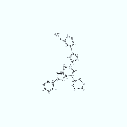 COc1cccc(-c2ccn(-c3nc(N4CCOCC4)n4nc(-c5cccnc5)cc4n3)n2)c1